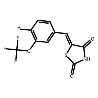 O=C1NC(=O)C(=Cc2ccc(F)c(OC(F)(F)F)c2)S1